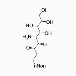 CCCCCCCCCCCC(=O)C(=O)[C@H](N)[C@@H](O)[C@H](O)[C@H](O)CO